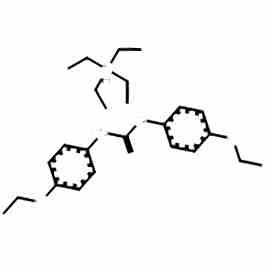 CCOc1ccc(NC(=S)Nc2ccc(OCC)cc2)cc1.CC[PH](CC)(CC)CC